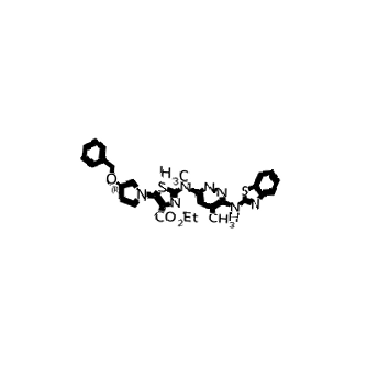 CCOC(=O)c1nc(N(C)c2cc(C)c(Nc3nc4ccccc4s3)nn2)sc1N1CC[C@@H](OCc2ccccc2)C1